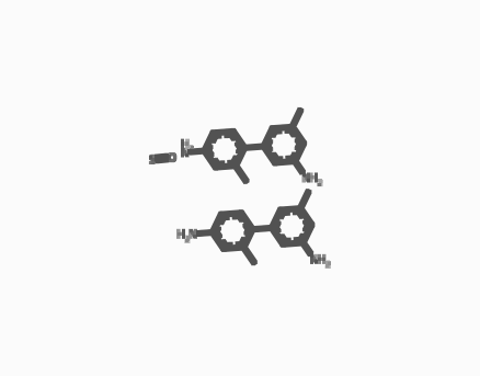 Cc1cc(N)cc(-c2ccc(N)cc2C)c1.Cc1cc(N)cc(-c2ccc(N)cc2C)c1.O=S